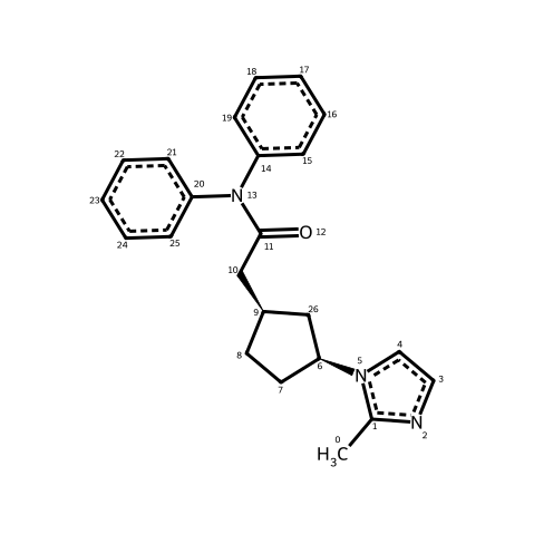 Cc1nccn1[C@H]1CC[C@@H](CC(=O)N(c2ccccc2)c2ccccc2)C1